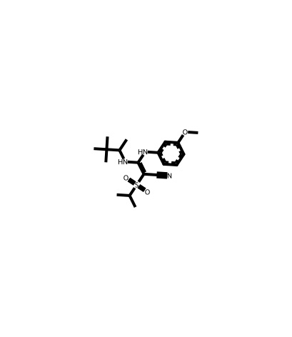 COc1cccc(N/C(NC(C)C(C)(C)C)=C(\C#N)S(=O)(=O)C(C)C)c1